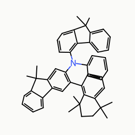 CC1(C)CCC(C)(C)c2c(-c3cc4c(cc3N(c3ccccc3)c3cccc5c3-c3ccccc3C5(C)C)C(C)(C)c3ccccc3-4)cccc21